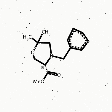 COC(=O)[C@@H]1COC(C)(C)CN1Cc1ccccc1